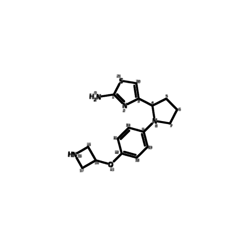 Nc1nc(C2CCCN2c2ccc(OC3CNC3)cc2)cs1